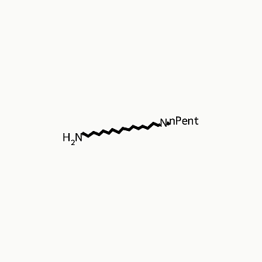 CCCCCC=NCCCCCCCCCCCCCCCCN